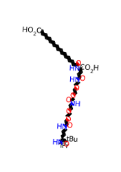 CC(C)N[C@@H](CCCCNC(=O)COCCOCCNC(=O)COCCOCCNC(=O)CC[C@H](NC(=O)CCCCCCCCCCCCCCCCCCC(=O)O)C(=O)O)C(=O)C(C)(C)C